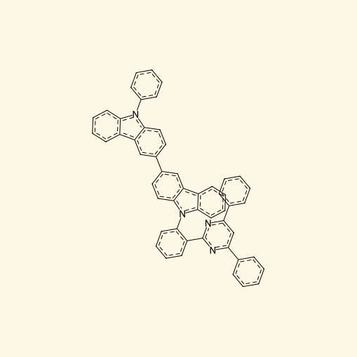 c1ccc(-c2cc(-c3ccccc3)nc(-c3ccccc3-n3c4ccccc4c4cc(-c5ccc6c(c5)c5ccccc5n6-c5ccccc5)ccc43)n2)cc1